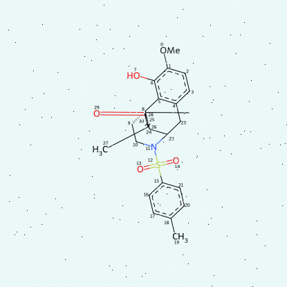 COc1ccc2c(c1O)[C@@]13CCN(S(=O)(=O)c4ccc(C)cc4)C(C2)C1C=C(C)C(=O)C3